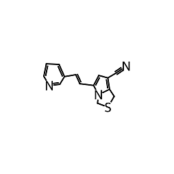 N#Cc1cc(/C=C/c2cccnc2)n2c1CSC2